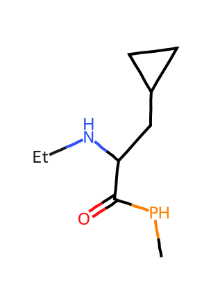 CCNC(CC1CC1)C(=O)PC